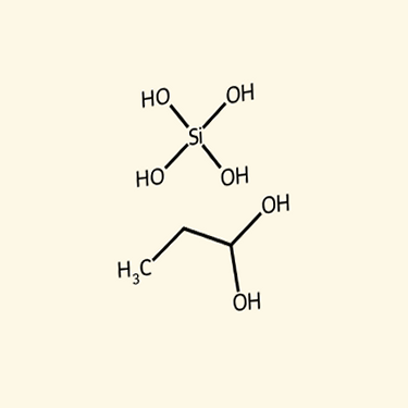 CCC(O)O.O[Si](O)(O)O